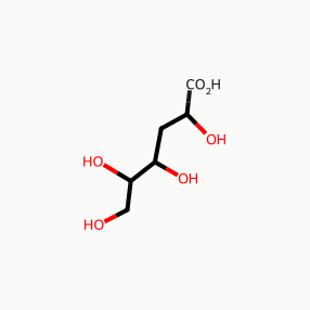 O=C(O)C(O)CC(O)C(O)CO